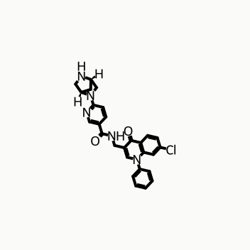 O=C(NCc1cn(-c2ccccc2)c2cc(Cl)ccc2c1=O)c1ccc(N2C[C@@H]3C[C@H]2CN3)nc1